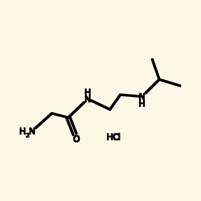 CC(C)NCCNC(=O)CN.Cl